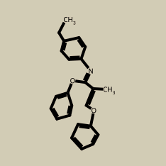 CCc1ccc(N=C(Oc2ccccc2)/C(C)=C/Oc2ccccc2)cc1